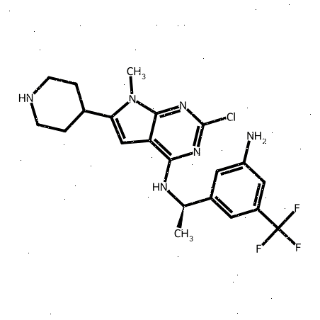 C[C@@H](Nc1nc(Cl)nc2c1cc(C1CCNCC1)n2C)c1cc(N)cc(C(F)(F)F)c1